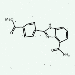 COC(=O)c1ccc(-c2nc3c(C(N)=O)cccc3[nH]2)cc1